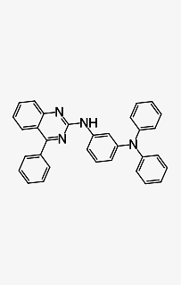 c1ccc(-c2nc(Nc3cccc(N(c4ccccc4)c4ccccc4)c3)nc3ccccc23)cc1